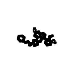 CCc1c(OC)cccc1-c1ccc2cc(OC)ccc2c1Cc1ccc(OCCN2CCCCC2)cc1